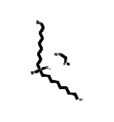 CCCCCCCCCCCC(=O)[O-].CCCCCCCCCCCCCCCCCC[N+](C)(C)CCCCCCCCCCCCCCCCCC